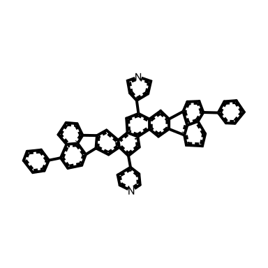 c1ccc(-c2ccc3c4c(cccc24)-c2cc4c(cc2-3)c(-c2ccncc2)cc2c3cc5c(cc3c(-c3ccncc3)cc42)-c2ccc(-c3ccccc3)c3cccc-5c23)cc1